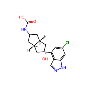 O=C(O)NC1C[C@@H]2C[C@@](O)(c3cc(Cl)cc4[nH]ncc34)C[C@@H]2C1